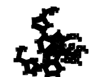 CC1=Cc2c(-c3ccc(CC(C)C)s3)cccc2[CH]1[Zr]([Cl])([Cl])([CH]1C(C)=Cc2c(-c3ccc(CC(C)C)s3)cccc21)[SiH](C)C